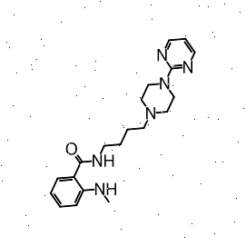 CNc1ccccc1C(=O)NCCCCN1CCN(c2ncccn2)CC1